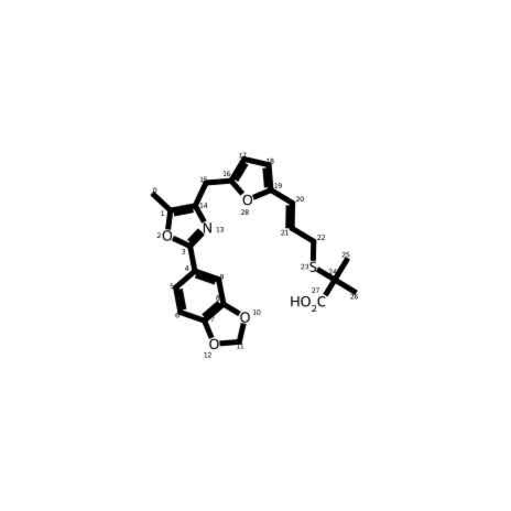 Cc1oc(-c2ccc3c(c2)OCO3)nc1Cc1ccc(C=CCSC(C)(C)C(=O)O)o1